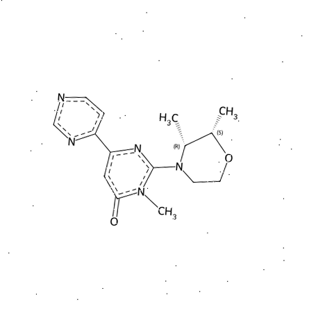 C[C@@H]1OCCN(c2nc(-c3ccncn3)cc(=O)n2C)[C@@H]1C